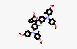 COc1ccc(N(c2ccc3c(c2)Oc2cc(N(c4ccc(OC)cc4)c4ccc(OC)cc4C)ccc2C32OC(=O)c3ccccc32)c2ccc(OC)cc2C)cc1